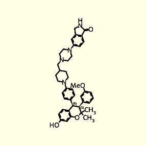 COc1cccc([C@@H]2[C@H](c3ccc(N4CCC(CN5CCN(c6ccc7c(c6)CNC7=O)CC5)CC4)cc3)c3ccc(O)cc3OC2(C)C)c1